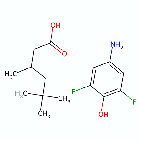 CC(CC(=O)O)CC(C)(C)C.Nc1cc(F)c(O)c(F)c1